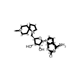 CN1CCC2(CCCN2C[C@H]2O[C@@H](n3ccc4c(N)nc(Cl)nc43)[C@H](O)[C@@H]2O)CC1